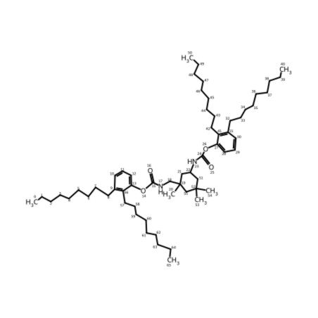 CCCCCCCCCc1cccc(OC(=O)NCC2(C)CC(NC(=O)Oc3cccc(CCCCCCCCC)c3CCCCCCCCC)CC(C)(C)C2)c1CCCCCCCCC